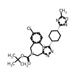 Cc1nc([C@H]2CC[C@@H](c3nnc4n3-c3ccc(Cl)cc3CN(C(=O)OC(C)(C)C)C4)CC2)no1